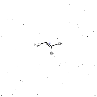 C[CH]/C(O)=C\C